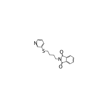 O=C1c2ccccc2C(=O)N1CCCCSc1cccnc1